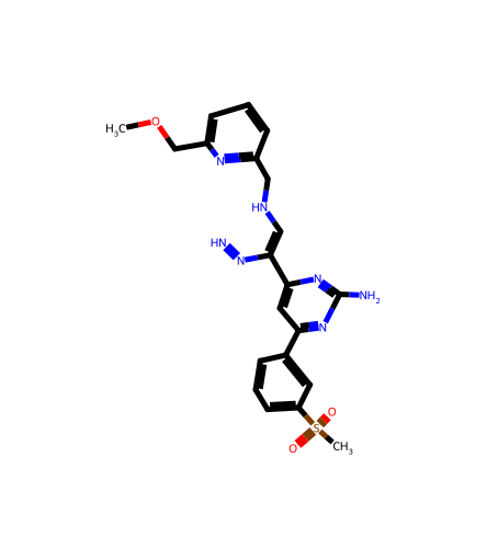 COCc1cccc(CN/C=C(\N=N)c2cc(-c3cccc(S(C)(=O)=O)c3)nc(N)n2)n1